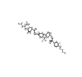 CCCCOc1ccc(C(=O)Oc2ccc3c(c2)C(C)(C)c2cc(OC(=O)c4ccc(OC(CCC)C5CO5)cc4)ccc2-3)cc1